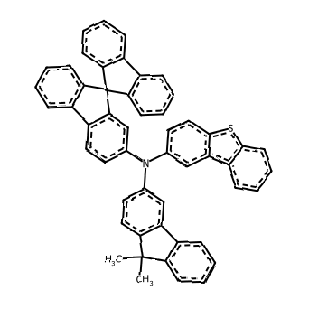 CC1(C)c2ccccc2-c2cc(N(c3ccc4c(c3)C3(c5ccccc5-c5ccccc53)c3ccccc3-4)c3ccc4sc5ccccc5c4c3)ccc21